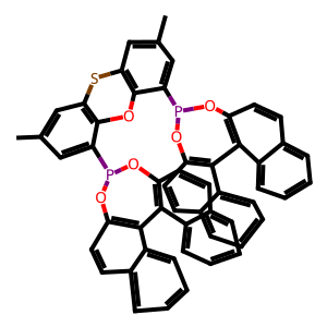 Cc1cc2c(c(-p3oc4ccc5ccccc5c4c4c(ccc5ccccc54)o3)c1)Oc1c(cc(C)cc1-p1oc3ccc4ccccc4c3c3c(ccc4ccccc43)o1)S2